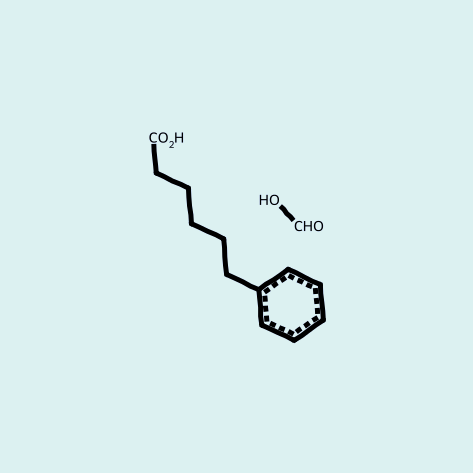 O=C(O)CCCCCc1ccccc1.O=CO